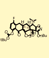 CCCCOc1noc2c1C(=O)[C@@]13NSOC1=C1C(=O)c4c(OC(=O)OC(C)(C)C)ccc(F)c4C[C@H]1C[C@H]3[C@@H]2N(C)C